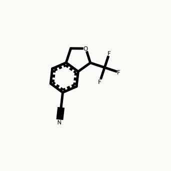 N#Cc1ccc2c(c1)C(C(F)(F)F)OC2